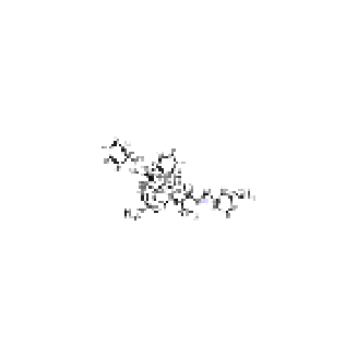 CC(=O)O[C@@]12CCC(N(C)C(=O)/C=C/c3cccc(C)c3)C3Oc4cccc5c4[C@@]31CCN(CCc1ccccc1)[C@@H]2C5